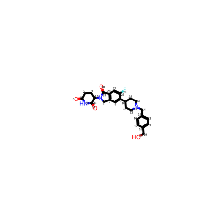 O=C1CCC(N2Cc3cc(C4CCN(Cc5ccc(CO)cc5)CC4)c(F)cc3C2=O)C(=O)N1